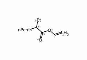 C=COC(=O)C(CC)CCCCC